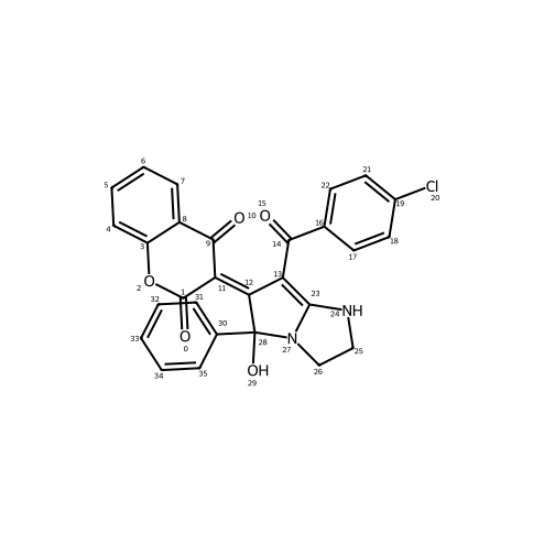 O=C1Oc2ccccc2C(=O)C1=C1C(C(=O)c2ccc(Cl)cc2)=C2NCCN2C1(O)c1ccccc1